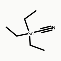 C[CH2][Sn]([C]#N)([CH2]C)[CH2]C